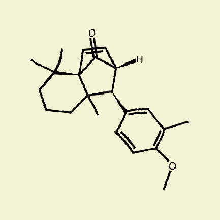 COc1ccc([C@@H]2[C@H]3C=C[C@@]4(C3=O)C(C)(C)CCCC24C)cc1C